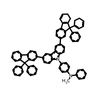 CN(c1ccccc1)c1ccc(-n2c3ccc(-c4ccc5c(c4)C(C4=CC=CCC4)(c4ccccc4)C4=C5C=CCC4)cc3c3cc(-c4ccc5c(c4)C(c4ccccc4)(c4ccccc4)c4ccccc4-5)ccc32)cc1